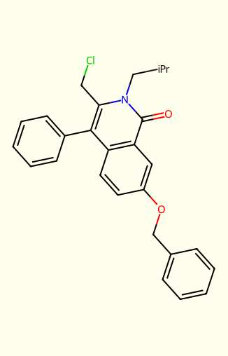 CC(C)Cn1c(CCl)c(-c2ccccc2)c2ccc(OCc3ccccc3)cc2c1=O